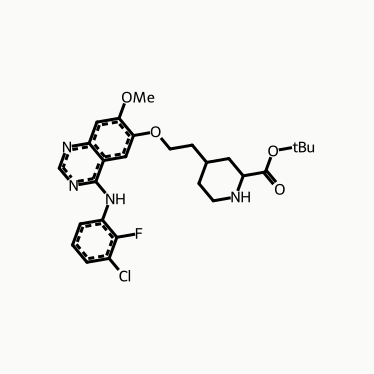 COc1cc2ncnc(Nc3cccc(Cl)c3F)c2cc1OCCC1CCNC(C(=O)OC(C)(C)C)C1